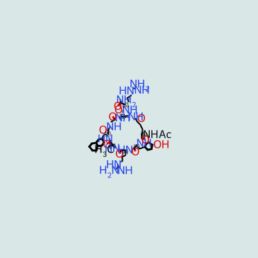 CC(=O)N[C@H]1CCC(=O)CNC[C@@H](C(=O)N[C@@H](CCCNC(=N)N)C(N)=O)NC(=O)CNC(=O)[C@H](Cc2ccc3ccccc3c2)NC(=O)[C@@H](C)NC(=O)[C@H](CCCNC(=N)N)NC(=O)[C@H](Cc2ccc(O)cc2)NC1=O